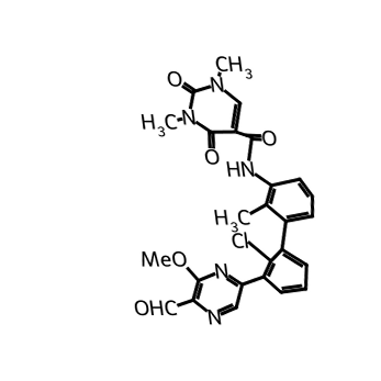 COc1nc(-c2cccc(-c3cccc(NC(=O)c4cn(C)c(=O)n(C)c4=O)c3C)c2Cl)cnc1C=O